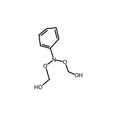 OCON(OCO)c1ccccc1